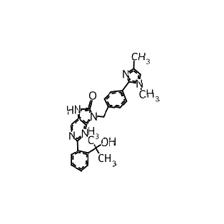 Cc1cn(C)c(-c2ccc(Cn3c(=O)[nH]c4cnc(-c5ccccc5C(C)(C)O)nc43)cc2)n1